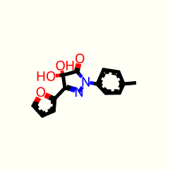 Cc1ccc(N2N=C(c3ccco3)C(O)(O)C2=O)cc1